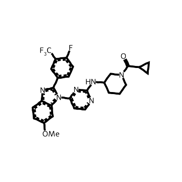 COc1ccc2nc(-c3ccc(F)c(C(F)(F)F)c3)n(-c3ccnc(NC4CCCN(C(=O)C5CC5)C4)n3)c2c1